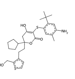 Cc1cc(SC2=C(O)CC(CCc3ccsc3CO)(C3CCCC3)OC2=O)c(C(C)(C)C)cc1N